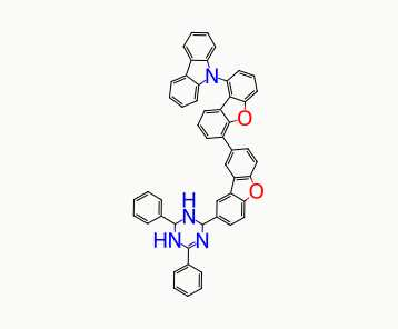 c1ccc(C2=NC(c3ccc4oc5ccc(-c6cccc7c6oc6cccc(-n8c9ccccc9c9ccccc98)c67)cc5c4c3)NC(c3ccccc3)N2)cc1